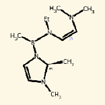 CCN(/C=C\N(C)C)B(C)N1C=CN(C)[C@@H]1C